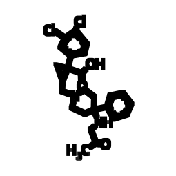 CC(=O)CNC1(c2ccccc2)CCN(CC2CC2(C(=O)O)c2ccc(Cl)c(Cl)c2)CC1